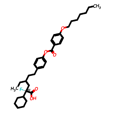 CCCCCCCOc1ccc(C(=O)Oc2ccc(CCC(CC)C[C@@](F)(C(=O)O)C3CCCCC3)cc2)cc1